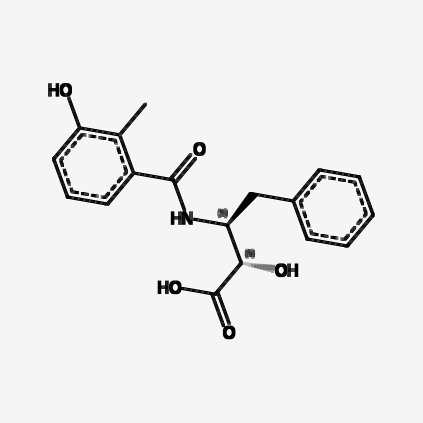 Cc1c(O)cccc1C(=O)N[C@@H](Cc1ccccc1)[C@H](O)C(=O)O